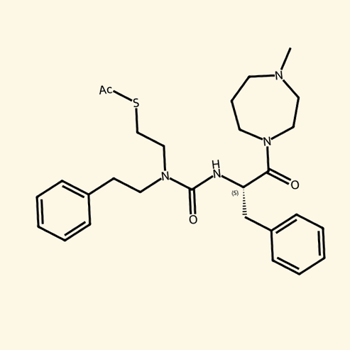 CC(=O)SCCN(CCc1ccccc1)C(=O)N[C@@H](Cc1ccccc1)C(=O)N1CCCN(C)CC1